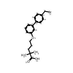 CC(C)(CCCOc1cccc(-c2ccc(CBr)cc2)c1)C(=O)O